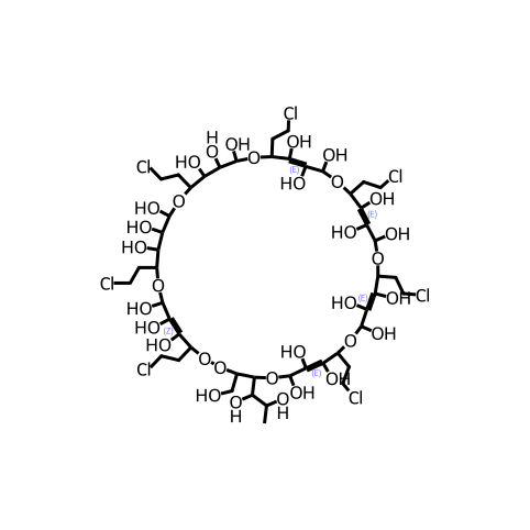 CC(O)C(O)C1OC(O)/C(O)=C(\O)C(CCCl)OC(O)/C(O)=C(\O)C(CCCl)OC(O)/C(O)=C(\O)C(CCCl)OC(O)/C(O)=C(\O)C(CCCl)OC(O)C(O)C(O)C(CCCl)OC(O)C(O)C(O)C(CCCl)OC(O)/C(O)=C(/O)C(CCCl)OOC1CO